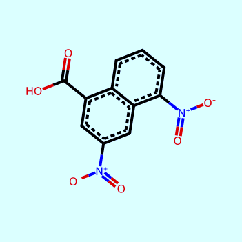 O=C(O)c1cc([N+](=O)[O-])cc2c([N+](=O)[O-])cccc12